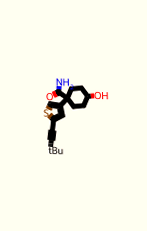 CC(C)(C)C#Cc1cc(C2(C(N)=O)CCC(O)CC2)cs1